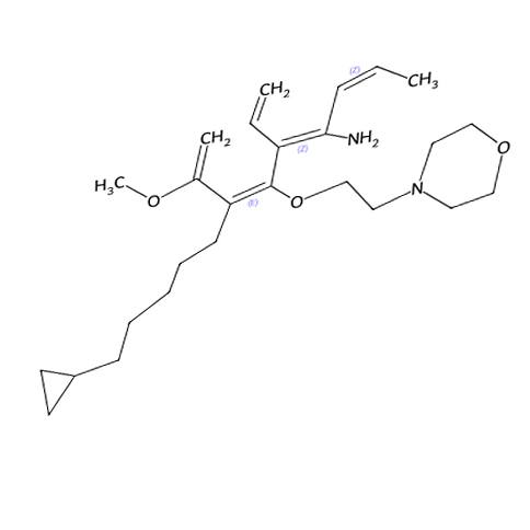 C=CC(=C(N)\C=C/C)/C(OCCN1CCOCC1)=C(/CCCCCC1CC1)C(=C)OC